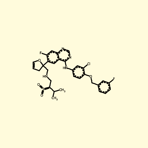 CC(C)C(CNCC1(c2cc3c(Nc4ccc(OCc5cccc(F)c5)c(Cl)c4)ncnc3cc2F)CC=CO1)=S(=O)=O